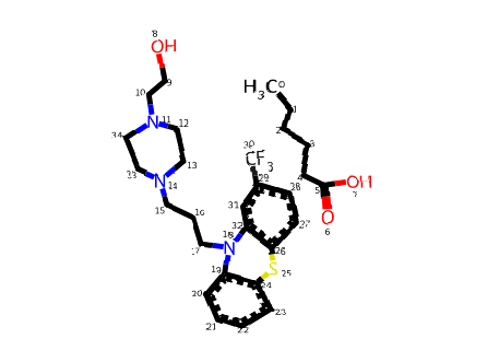 CCCCCC(=O)O.OCCN1CCN(CCCN2c3ccccc3Sc3ccc(C(F)(F)F)cc32)CC1